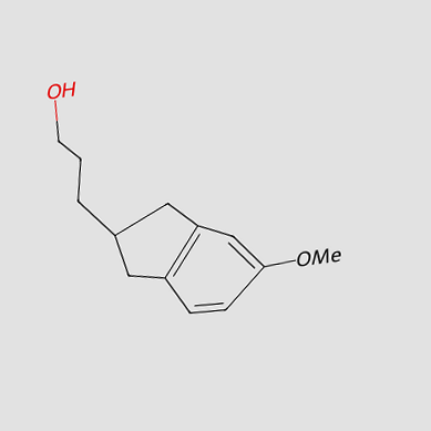 COc1ccc2c(c1)CC(CCCO)C2